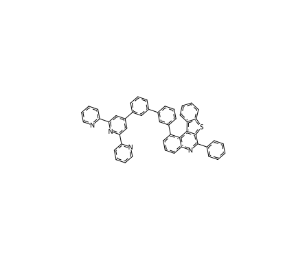 c1ccc(-c2nc3cccc(-c4cccc(-c5cccc(-c6cc(-c7ccccn7)nc(-c7ccccn7)c6)c5)c4)c3c3c2sc2ccccc23)cc1